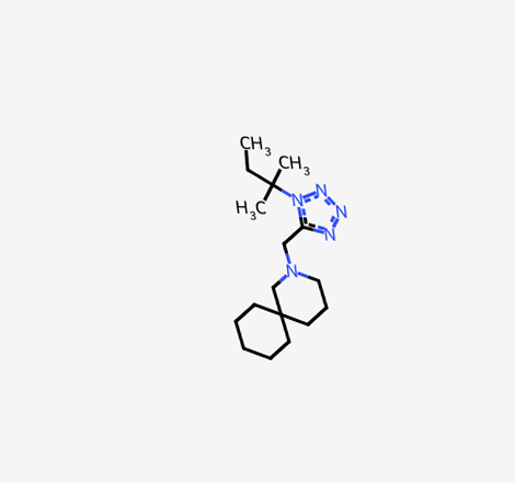 CCC(C)(C)n1nnnc1CN1CCCC2(CCCCC2)C1